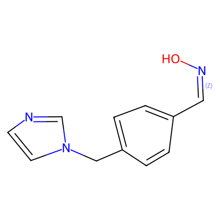 O/N=C\c1ccc(Cn2ccnc2)cc1